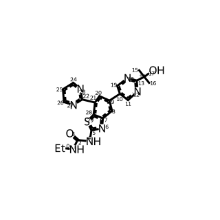 CCNC(=O)Nc1nc2cc(-c3cnc(C(C)(C)O)nc3)cc(-c3ncccn3)c2s1